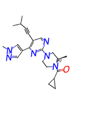 CC(C)C#Cc1cnc(N2CCN(C(=O)C3CC3)[C@H](C)C2)nc1-c1cnn(C)c1